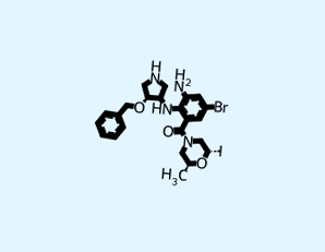 C[C@@H]1CN(C(=O)c2cc(Br)cc(N)c2NC2CNC[C@@H]2OCc2ccccc2)C[C@H](I)O1